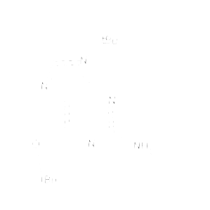 CC(C)(C)Oc1nc(N)nc2c1ncn2C(C)(C)C